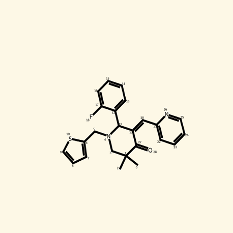 CC1(C)CN(Cc2cccs2)C(c2ccccc2F)C(=Cc2ccccn2)C1=O